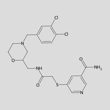 NC(=O)c1cncc(SCC(=O)NCC2CN(Cc3ccc(Cl)c(Cl)c3)CCO2)c1